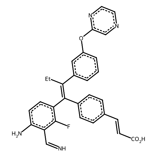 CC/C(=C(/c1ccc(/C=C/C(=O)O)cc1)c1ccc(N)c(C=N)c1F)c1cccc(Oc2cnccn2)c1